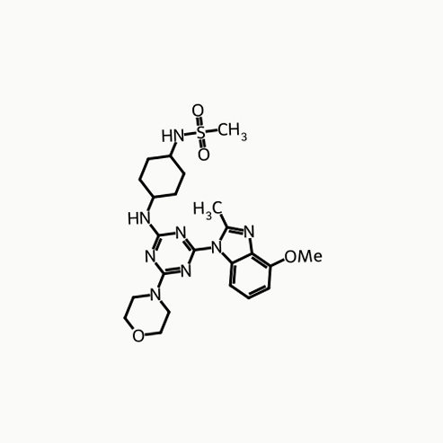 COc1cccc2c1nc(C)n2-c1nc(NC2CCC(NS(C)(=O)=O)CC2)nc(N2CCOCC2)n1